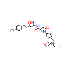 CN(Cc1ccc(N2C[C@@H](C(=O)Nc3cc(CCc4ccc(Cl)cc4)on3)CC2=O)cc1)C1CCOC1